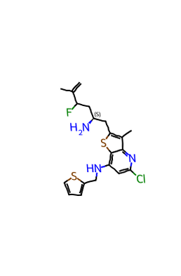 C=C(C)C(F)C[C@H](N)Cc1sc2c(NCc3cccs3)cc(Cl)nc2c1C